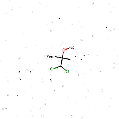 CCCCCC(C)(OCC)C(Cl)Cl